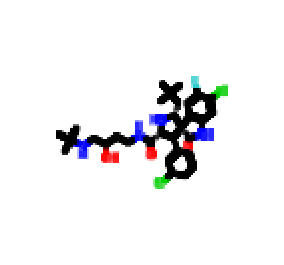 CC(C)(C)C[C@H]1N[C@@H](C(=O)NCC[C@H](O)CNC(C)(C)C)[C@H](C2=CC(Cl)CC=C2)[C@@]12C(=O)Nc1cc(Cl)c(F)cc12